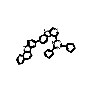 c1ccc(-c2nc(-c3ccccc3)nc(-c3cncc4oc5cc(-c6ccc7sc8c9ccccc9ccc8c7c6)ccc5c34)n2)cc1